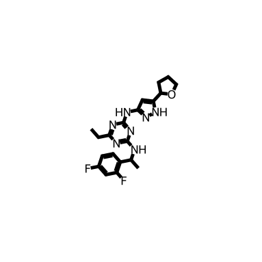 CCc1nc(Nc2cc(C3CCCO3)[nH]n2)nc(NC(C)c2ccc(F)cc2F)n1